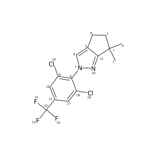 CC1(C)CCc2cn(-c3c(Cl)cc(C(F)(F)F)cc3Cl)nc21